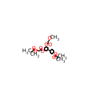 C=C(C)C(=O)OCCC(=O)Oc1cc(OC(=O)CCOC)cc(-c2ccc(OC(=O)C(=C)C)cc2)c1